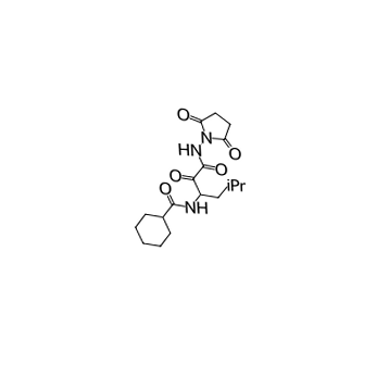 CC(C)CC(NC(=O)C1CCCCC1)C(=O)C(=O)NN1C(=O)CCC1=O